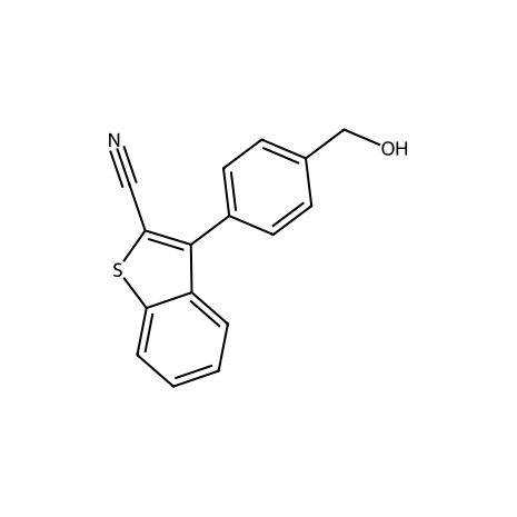 N#Cc1sc2ccccc2c1-c1ccc(CO)cc1